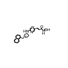 O=C(C=Cc1cnc(N[C@@H]2CCN(Cc3cccc4ccccc34)C2)cn1)NO